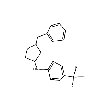 FC(F)(F)c1ccc(NC2CCN(Cc3ccccc3)C2)cc1